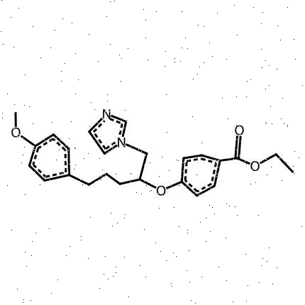 CCOC(=O)c1ccc(OC(CCCc2ccc(OC)cc2)Cn2ccnc2)cc1